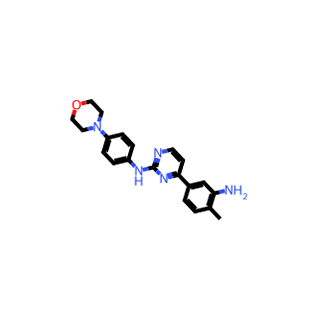 Cc1ccc(-c2ccnc(Nc3ccc(N4CCOCC4)cc3)n2)cc1N